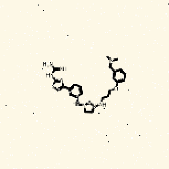 CN(C)Cc1cccc(OCCCNN2C=CN(Nc3cccc(-c4csc(NC(=N)N)n4)c3)S2)c1